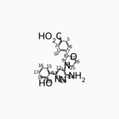 Cc1cc(C(=O)O)ccc1C1CN(c2cc(-c3ccccc3O)nnc2N)CCO1